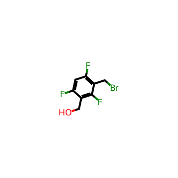 OCc1c(F)cc(F)c(CBr)c1F